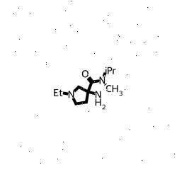 CCN1CCC(N)(C(=O)N(C)C(C)C)C1